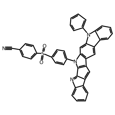 N#Cc1ccc(S(=O)(=O)c2ccc(-n3c4c(c5cc6c7ccccc7n(-c7ccccc7)c6cc53)C=C3C4=Nc4ccccc43)cc2)cc1